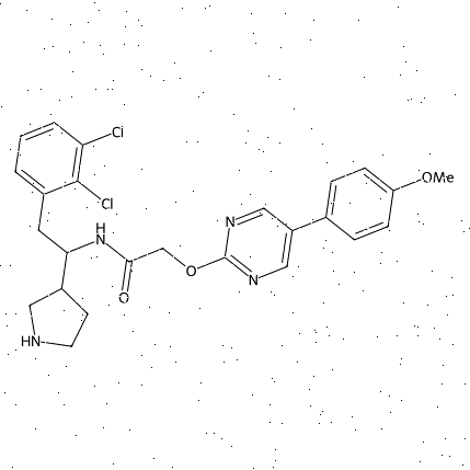 COc1ccc(-c2cnc(OCC(=O)NC(Cc3cccc(Cl)c3Cl)C3CCNC3)nc2)cc1